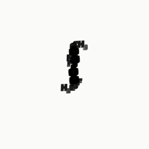 COc1ccc(C2CCC(CCc3ccc(C4CCC(OC)CC4)c(F)c3F)CC2)cc1F